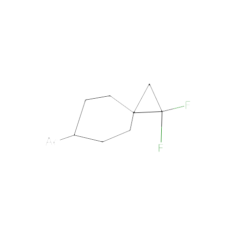 CC(=O)C1CCC2(CC1)CC2(F)F